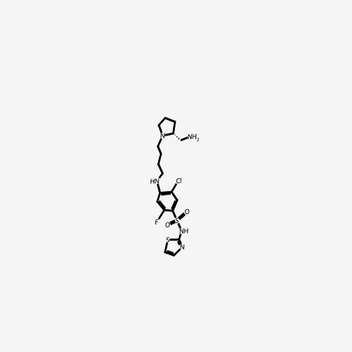 NC[C@H]1CCCN1CCCCNc1cc(F)c(S(=O)(=O)Nc2nccs2)cc1Cl